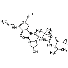 C#CCCC(NC(=O)[C@@H]1CC(O)CN1C(=O)[C@@H](NC(=O)N[C@H](C(=O)C1CC1)C(C)C)C(C)(C)C)C(=O)C(=O)NCC=C